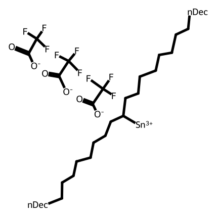 CCCCCCCCCCCCCCCCCC[CH]([Sn+3])CCCCCCCCCCCCCCCCCC.O=C([O-])C(F)(F)F.O=C([O-])C(F)(F)F.O=C([O-])C(F)(F)F